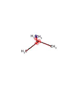 CCCCCC=CCC=CCCCCCCCCOC(=O)c1cc(COC(=O)CCN(C)C)cc(C(=O)OCCCCCCCCC=CCC=CCCCCC)c1